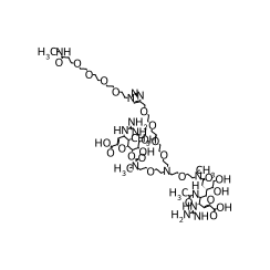 CNC(=O)CCOCCOCCOCCOCCn1cc(COCCOCCOCCOCCN(CCOCCN(C)C(=O)C[C@@H]([C@@H]2OC(C(=O)O)=C[C@H](NC(=N)N)[C@H]2NC(C)=O)[C@H](O)CO)CCOCCN(C)C(=O)O[C@@H]([C@@H]2OC(C(=O)O)=C[C@H](NC(=N)N)[C@H]2C)[C@H](O)CO)nn1